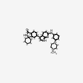 CN1CCN(c2cccc(Nc3ccc4c(-c5ccc6c(c5)C5(CCCCC5)NC6=O)c[nH]c4n3)c2)CC1